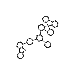 c1ccc(-c2cc(-c3cccc4c3-c3ccccc3C43c4ccccc4-c4ccccc43)nc(-c3ccc(-c4cccc5c4oc4ccccc45)cc3)n2)cc1